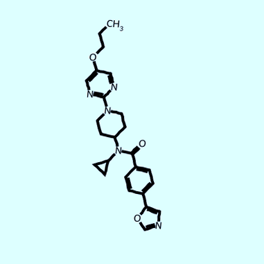 CCCOc1cnc(N2CCC(N(C(=O)c3ccc(-c4cnco4)cc3)C3CC3)CC2)nc1